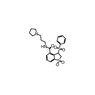 O=C(NCCCN1CCCC1)c1cccc2c1C(S(=O)(=O)c1ccccc1)CS2(=O)=O